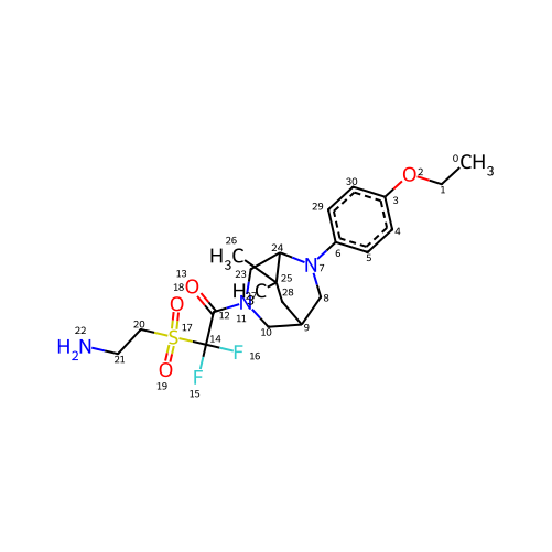 CCOc1ccc(N2CC3CN(C(=O)C(F)(F)S(=O)(=O)CCN)CC2C(C)(C)C3)cc1